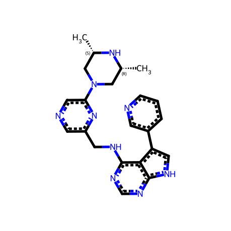 C[C@@H]1CN(c2cncc(CNc3ncnc4[nH]cc(-c5cccnc5)c34)n2)C[C@H](C)N1